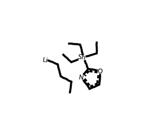 C[CH2][Sn]([CH2]C)([CH2]C)[c]1ncco1.[Li][CH2]CCC